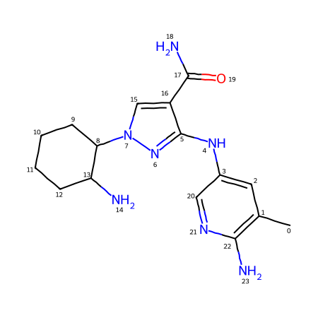 Cc1cc(Nc2nn(C3CCCCC3N)cc2C(N)=O)cnc1N